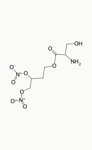 NC(CO)C(=O)OCCC(CO[N+](=O)[O-])O[N+](=O)[O-]